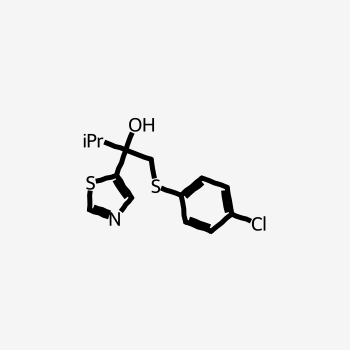 CC(C)C(O)(CSc1ccc(Cl)cc1)c1cncs1